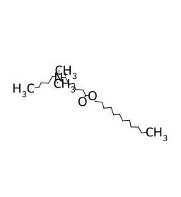 CCCCCCCCCCCCOC(=O)CCCCC[N+](C)(C)CCCCC